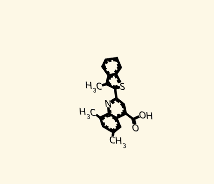 Cc1cc(C)c2nc(-c3sc4ccccc4c3C)cc(C(=O)O)c2c1